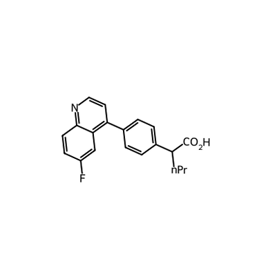 CCCC(C(=O)O)c1ccc(-c2ccnc3ccc(F)cc23)cc1